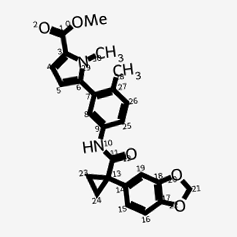 COC(=O)c1ccc(-c2cc(NC(=O)C3(c4ccc5c(c4)OCO5)CC3)ccc2C)n1C